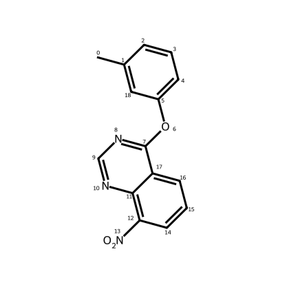 Cc1cccc(Oc2ncnc3c([N+](=O)[O-])cccc23)c1